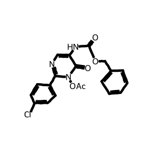 CC(=O)On1c(-c2ccc(Cl)cc2)ncc(NC(=O)OCc2ccccc2)c1=O